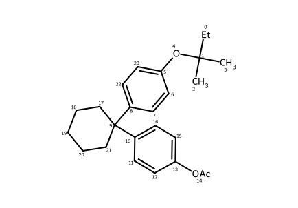 CCC(C)(C)Oc1ccc(C2(c3ccc(OC(C)=O)cc3)CCCCC2)cc1